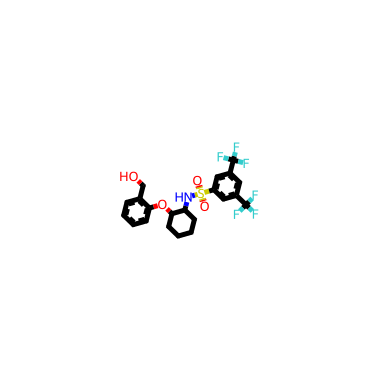 O=S(=O)(NC1CCCCC1Oc1ccccc1CO)c1cc(C(F)(F)F)cc(C(F)(F)F)c1